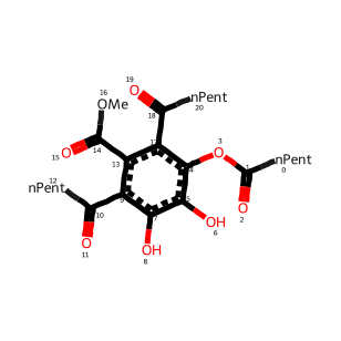 CCCCCC(=O)Oc1c(O)c(O)c(C(=O)CCCCC)c(C(=O)OC)c1C(=O)CCCCC